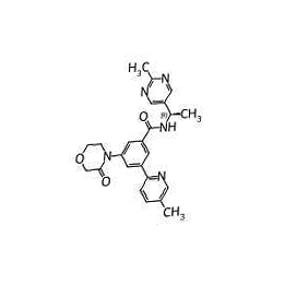 Cc1ccc(-c2cc(C(=O)N[C@H](C)c3cnc(C)nc3)cc(N3CCOCC3=O)c2)nc1